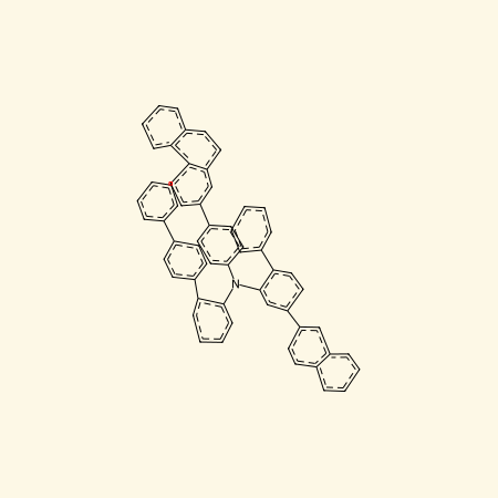 c1ccc(-c2ccc(-c3ccccc3N(c3ccc(-c4ccc5c(ccc6ccccc65)c4)cc3)c3cc(-c4ccc5ccccc5c4)ccc3-c3ccccc3)cc2)cc1